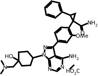 CC(=O)O.COc1cc(-c2nn(C3CCC(O)(CN(C)C)CC3)c3ncnc(N)c23)ccc1C1(C(N)=O)CC1c1ccccc1